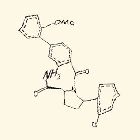 COc1ccccc1-c1ccc(C(=O)N2C(c3ccccc3Cl)CC[C@H]2C(N)=O)cc1